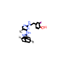 N#Cc1cnc(NCCc2ccc(O)c(I)c2)nc1NC[C@]12CC3C[C@H](C1)[C@@H](N)[C@@H](C3)C2